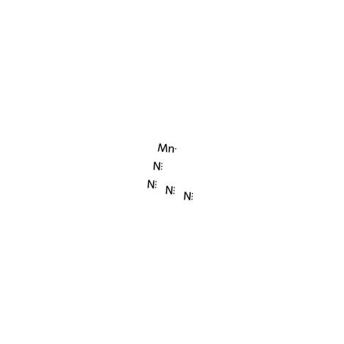 [Mn].[N].[N].[N].[N]